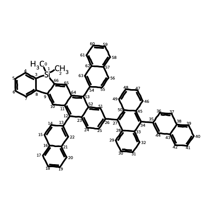 C[Si]1(C)c2ccccc2-c2cc3c(-c4ccc5ccccc5c4)c4ccc(-c5c6ccccc6c(-c6ccc7ccccc7c6)c6ccccc56)cc4c(-c4ccc5ccccc5c4)c3cc21